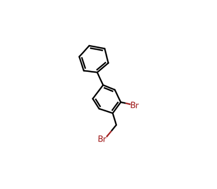 BrCc1ccc(-c2ccccc2)cc1Br